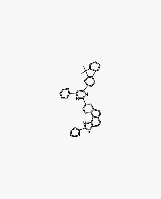 CC1(C)c2ccccc2-c2ccc(-c3cc(-c4ccccc4)nc(-c4ccc5c(ccc6ccc7sc(-c8ccccc8)nc7c65)c4)n3)cc21